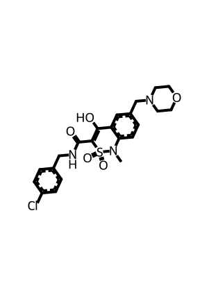 CN1c2ccc(CN3CCOCC3)cc2C(O)=C(C(=O)NCc2ccc(Cl)cc2)S1(=O)=O